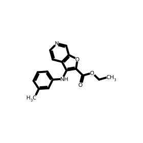 CCOC(=O)c1oc2cnccc2c1Nc1cccc(C)c1